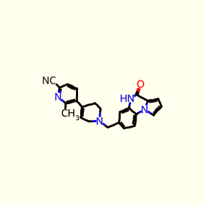 Cc1nc(C#N)ccc1C1=CCN(Cc2ccc3c(c2)[nH]c(=O)c2cccn23)CC1